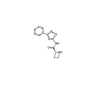 O=C(Nc1nc(-c2ccccc2)ns1)[C@@H]1CCN1